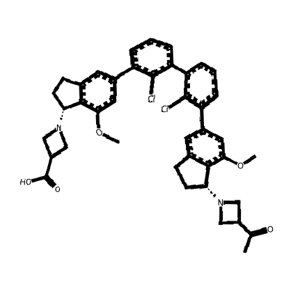 COc1cc(-c2cccc(-c3cccc(-c4cc5c(c(OC)c4)[C@H](N4CC(C(=O)O)C4)CC5)c3Cl)c2Cl)cc2c1[C@H](N1CC(C(C)=O)C1)CC2